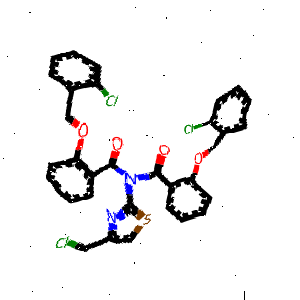 O=C(c1ccccc1OCc1ccccc1Cl)N(C(=O)c1ccccc1OCc1ccccc1Cl)c1nc(CCl)cs1